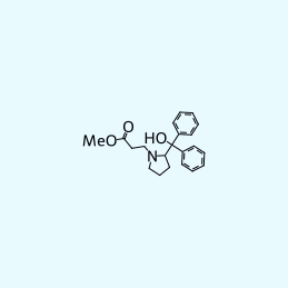 COC(=O)CCN1CCCC1C(O)(c1ccccc1)c1ccccc1